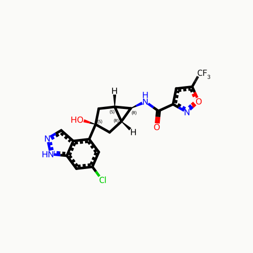 O=C(N[C@H]1[C@@H]2C[C@](O)(c3cc(Cl)cc4[nH]ncc34)C[C@@H]21)c1cc(C(F)(F)F)on1